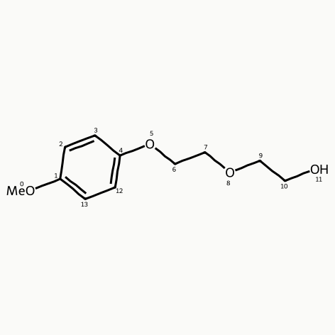 COc1ccc(OCCOCCO)cc1